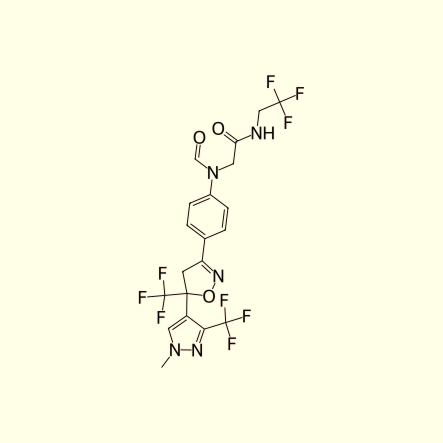 Cn1cc(C2(C(F)(F)F)CC(c3ccc(N(C=O)CC(=O)NCC(F)(F)F)cc3)=NO2)c(C(F)(F)F)n1